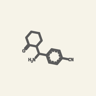 N#Cc1ccc(C(N)C2CCCCC2=O)cc1